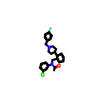 CC(=O)N(Cc1ccccc1C1CCN(Cc2ccc(F)cc2)CC1)c1cccc(Cl)c1